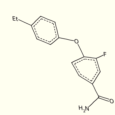 CCc1ccc(Oc2ccc(C(N)=O)cc2F)cc1